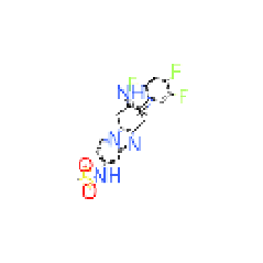 CS(=O)(=O)Nc1ccn2c3c(nc2c1)C[C@H](c1cc(F)c(F)cc1F)[C@H](N)C3